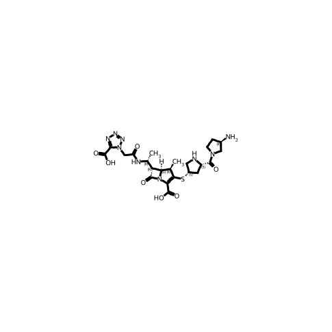 C[C@@H](NC(=O)Cn1nnnc1C(=O)O)[C@H]1C(=O)N2C(C(=O)O)=C(S[C@@H]3CN[C@H](C(=O)N4CC[C@@H](N)C4)C3)[C@H](C)[C@H]12